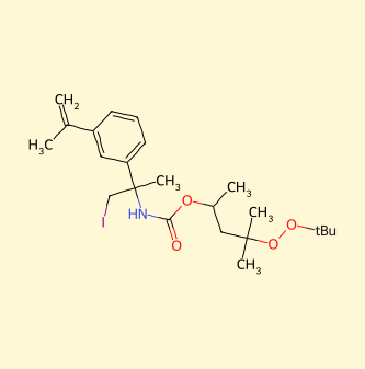 C=C(C)c1cccc(C(C)(CI)NC(=O)OC(C)CC(C)(C)OOC(C)(C)C)c1